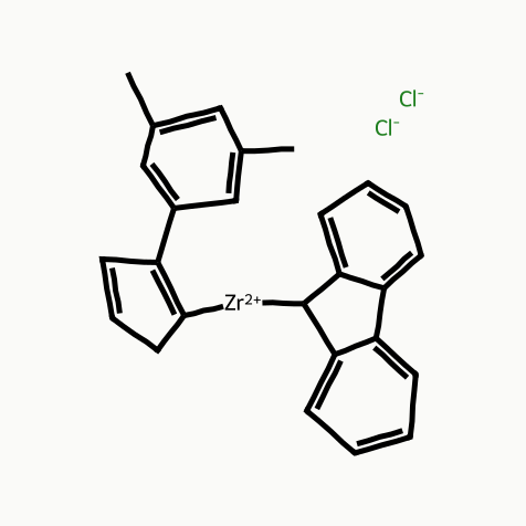 Cc1cc(C)cc(C2=[C]([Zr+2][CH]3c4ccccc4-c4ccccc43)CC=C2)c1.[Cl-].[Cl-]